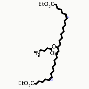 CCOC(=O)CCCC/C=C\CCCCCCCCC(CCCCCCCC/C=C\CCCCC(=O)OCC)OC(O)CCCN(C)C